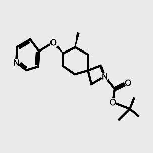 C[C@H]1CC2(CC[C@H]1Oc1ccncc1)CN(C(=O)OC(C)(C)C)C2